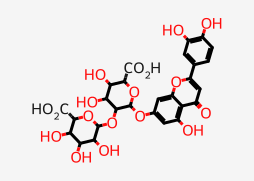 O=C(O)C1OC(OC2C(Oc3cc(O)c4c(=O)cc(-c5ccc(O)c(O)c5)oc4c3)OC(C(=O)O)C(O)C2O)C(O)C(O)C1O